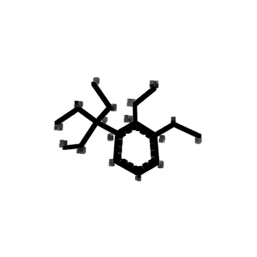 CCc1cccc(C(CC)(CC)CC)c1CC